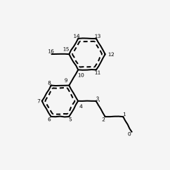 CCC[CH]c1ccccc1-c1ccccc1C